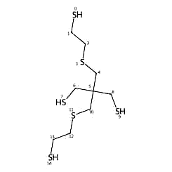 SCCSCC(CS)(CS)CSCCS